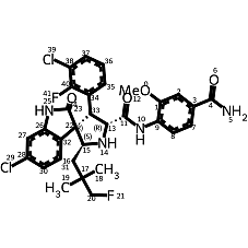 COc1cc(C(N)=O)ccc1NC(=O)[C@@H]1N[C@@H](CC(C)(C)CF)[C@@]2(C(=O)Nc3cc(Cl)ccc32)C1c1cccc(Cl)c1F